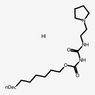 CCCCCCCCCCCCCCCCOC(=O)NC(=O)NCCN1CCCC1.I